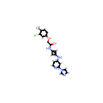 O=C(COc1ccc(Cl)c(F)c1)NC12CC(Nc3ccnc(-n4ccnc4)c3)(C1)C2